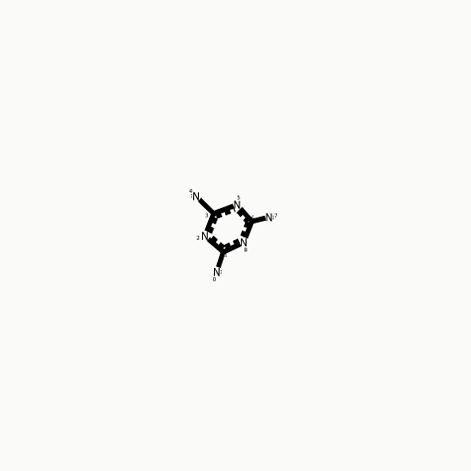 [N]c1nc([N])nc([N])n1